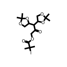 CC1(C)OCC(C(C(=O)COC(=O)C(C)(C)I)C2COC(C)(C)O2)O1